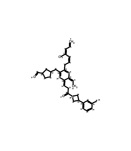 C=C/C=C(Cl)\C=C/Cc1nc(=C/C)/c(=C\CC(=O)N2CC(c3cccc(F)c3)C2)nc1CC1CCC(C=O)C1